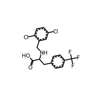 O=C(O)C(Cc1ccc(C(F)(F)F)cc1)NCc1cc(Cl)ccc1Cl